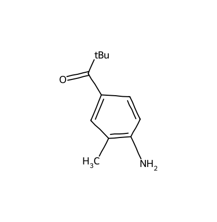 Cc1cc(C(=O)C(C)(C)C)ccc1N